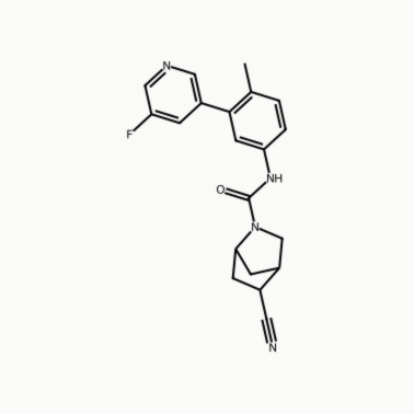 Cc1ccc(NC(=O)N2CC3CC2CC3C#N)cc1-c1cncc(F)c1